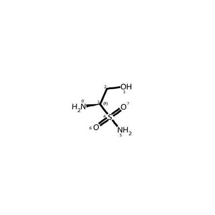 N[C@@H](CO)S(N)(=O)=O